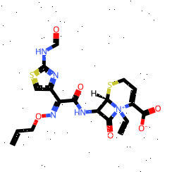 C=CCON=C(C(=O)NC1C(=O)[N+]2(C=C)C(C(=O)[O-])=CCS[C@@H]12)c1csc(NC=O)n1